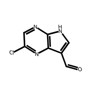 O=Cc1c[nH]c2ncc(Cl)nc12